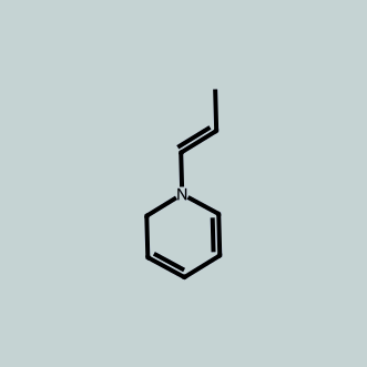 CC=CN1C=CC=CC1